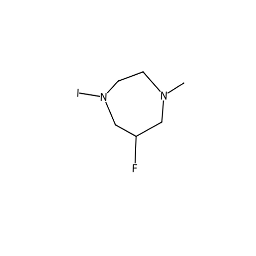 CN1CCN(I)CC(F)C1